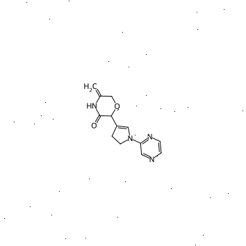 C=C1COC(C2=CN(c3cnccn3)CC2)C(=O)N1